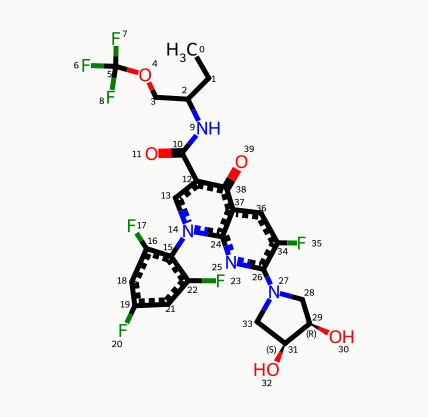 CCC(COC(F)(F)F)NC(=O)c1cn(-c2c(F)cc(F)cc2F)c2nc(N3C[C@@H](O)[C@@H](O)C3)c(F)cc2c1=O